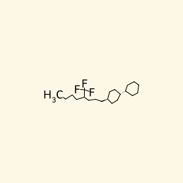 CCCCC(CCC[C@H]1CC[C@H](C2CCCCC2)CC1)C(F)(F)F